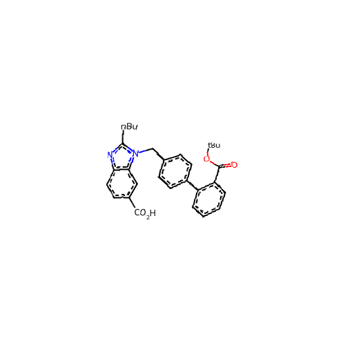 CCCCc1nc2ccc(C(=O)O)cc2n1Cc1ccc(-c2ccccc2C(=O)OC(C)(C)C)cc1